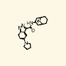 CN1C2CCCC1CC(NC(=O)C1=NN=C3CC=C(N4CCCC4)C=C31)C2